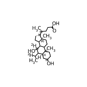 [2H]C(C)C1[C@@H]2C[C@H](O)CC[C@]2(C)C2CC[C@@]3(C)C(CC[C@@H]3[C@H](C)CCC(=O)O)C2[C@]1([2H])O